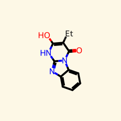 CCc1c(O)[nH]c2nc3ccccc3n2c1=O